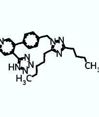 CCCCCc1nc(CCCC)nn1Cc1ccc(-c2cnccc2-c2nnn[nH]2)cc1